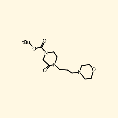 CC(C)(C)OC(=O)N1CCN(CCCN2CCOCC2)C(=O)C1